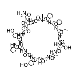 CCCC[C@H]1C(=O)N(C)CC(=O)N[C@@H](CC(=O)O)C(=O)N[C@@H](C(C)C)C(=O)N(C)[C@@H](C)C(=O)N[C@@H](Cc2ccc(O)cc2)C(=O)N(C)CC(=O)N[C@@H](Cc2c[nH]c3ccccc23)C(=O)N[C@@H](Cc2ccc(O)cc2)C(=O)N[C@H]2CC(C)N(C2=O)[C@@H](C(=O)NCC(N)=O)CSCC(=O)N[C@@H](Cc2ccccc2)C(=O)N(C)[C@@H](Cc2ccccc2)C(=O)N1C